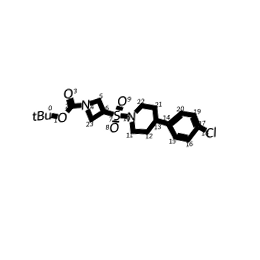 CC(C)(C)OC(=O)N1CC(S(=O)(=O)N2CCC(c3ccc(Cl)cc3)CC2)C1